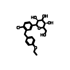 CCOc1ccc(Cc2cc(C3OC(CO)[C@@H](O)C(O)[C@H]3O)ccc2Cl)cc1